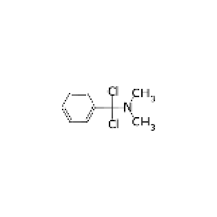 CN(C)C(Cl)(Cl)c1ccccc1